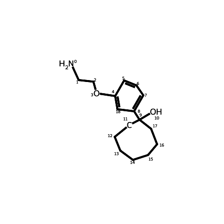 NCCOc1cccc(C2(O)CCCCCCC2)c1